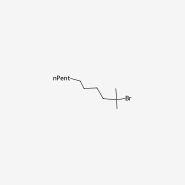 CCCCCCCCCC(C)(C)Br